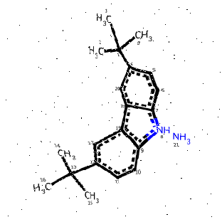 CC(C)(C)c1ccc2[nH]c3ccc(C(C)(C)C)cc3c2c1.N